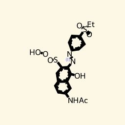 CCS(=O)(=O)c1ccc(/N=N/c2c(SOOO)cc3ccc(NC(C)=O)cc3c2O)cc1